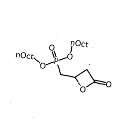 CCCCCCCCOP(=O)(CC1CC(=O)O1)OCCCCCCCC